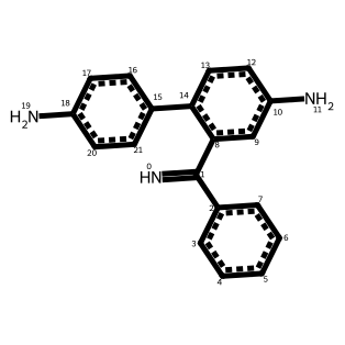 N=C(c1ccccc1)c1cc(N)ccc1-c1ccc(N)cc1